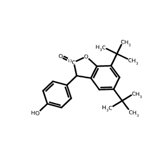 CC(C)(C)c1cc2c(c(C(C)(C)C)c1)O[13C](=O)C2c1ccc(O)cc1